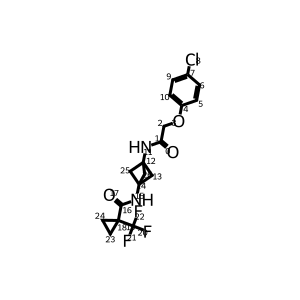 O=C(COc1ccc(Cl)cc1)NC12CC(NC(=O)C3(C(F)(F)F)CC3)(C1)C2